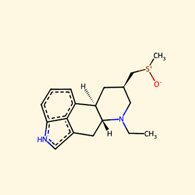 CCN1C[C@H](C[S+](C)[O-])C[C@@H]2c3cccc4[nH]cc(c34)C[C@H]21